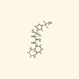 CC(C)(O)c1coc(S(=O)(=O)NC(=O)Nc2cccc3c2OCCO3)c1